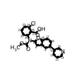 COC(=O)N(c1cc2cc(-c3cccnc3)ccc2o1)c1cccc(Cl)c1C(=O)O